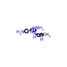 Cc1cc2cc(Nc3cc(N)nn4cc([C@H]5CC[C@H](N)CC5)nc34)ccc2[nH]1